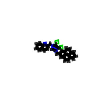 ClC1=C(Cl)N(Cc2ccc3ccccc3n2)CN1Cc1cc2ccc3cccc4ccc(c1)c2c34